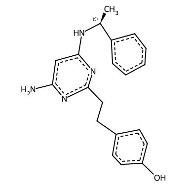 C[C@H](Nc1cc(N)nc(CCc2ccc(O)cc2)n1)c1ccccc1